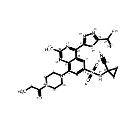 CCC(=O)N1CCN(c2cc(S(=O)(=O)NC3(C#N)CC3)cc3c(-c4nnc(C(F)F)s4)nc(C)nc23)CC1